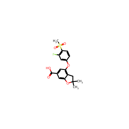 CC1(C)Cc2c(Oc3ccc(S(C)(=O)=O)c(F)c3)cc(C(=O)O)cc2O1